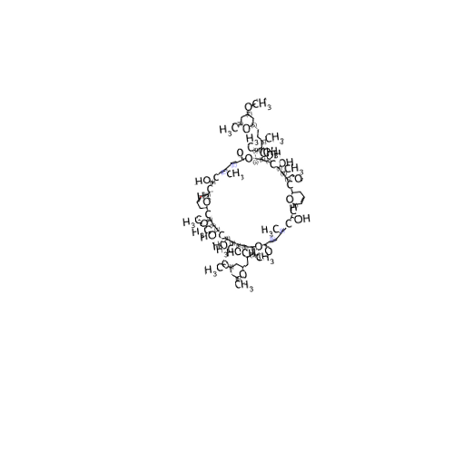 CO[C@H]1CC(CC[C@H](C)[C@@H]2OC(=O)/C=C/C(C)=C/CC(O)C[C@@H]3C=CCC(C[C@H](C=O)[C@@H](C)[C@@H](O)C[C@@H](O)[C@H](C)[C@@H]([C@@H](C)[C@@H](O)[C@@H](C)CC[C@H]4C[C@H](OC)C[C@H](C)O4)OC(=O)/C=C/C(C)=C/C[C@H](O)C[C@@H]4C=CCC(C[C@H](OC)[C@@H](C)[C@@H](O)C[C@@H](O)[C@H](C)[C@H](O)[C@H]2C)O4)O3)O[C@@H](C)C1